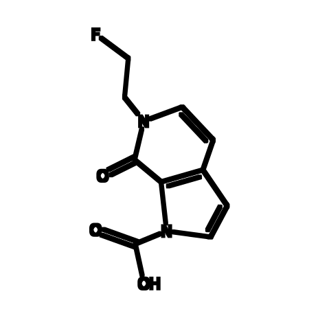 O=C(O)n1ccc2ccn(CCF)c(=O)c21